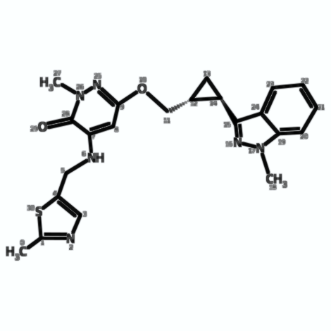 Cc1ncc(CNc2cc(OC[C@@H]3C[C@H]3c3nn(C)c4ccccc34)nn(C)c2=O)s1